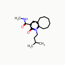 CNC(=O)c1cc2c(n(CCC(C)C)c1=O)CCCCCC2